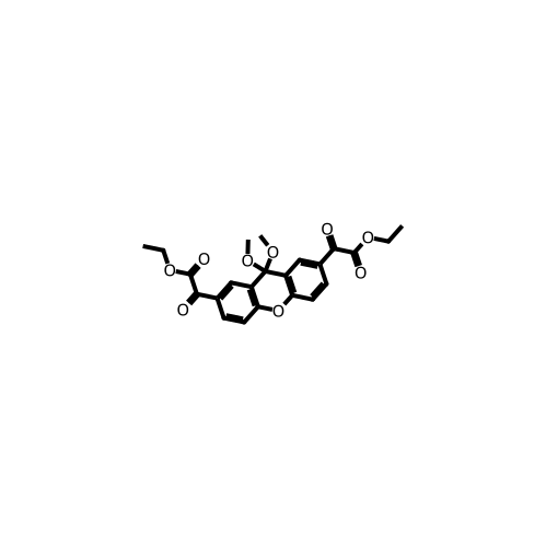 CCOC(=O)C(=O)c1ccc2c(c1)C(OC)(OC)c1cc(C(=O)C(=O)OCC)ccc1O2